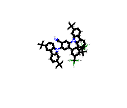 CC(C)(C)c1ccc2c(c1)c1ccc(C(C)(C)C)cc1n2-c1cc(-c2cc(C(F)(F)F)cc(C(F)(F)F)c2)c(-n2c3cc(C(C)(C)C)ccc3c3ccc(C(C)(C)C)cc32)cc1C#N